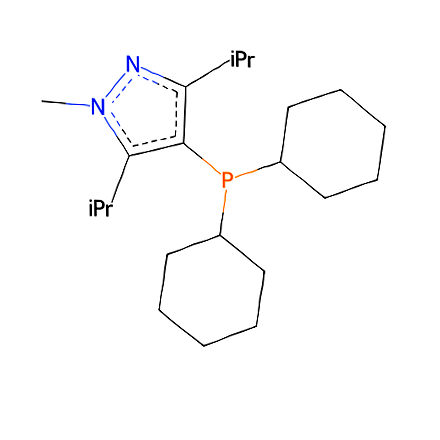 CC(C)c1nn(C)c(C(C)C)c1P(C1CCCCC1)C1CCCCC1